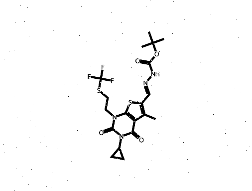 Cc1c(/C=N/NC(=O)OC(C)(C)C)sc2c1c(=O)n(C1CC1)c(=O)n2CCSC(F)(F)F